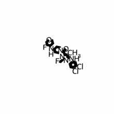 Cc1c(Nc2ccc(Cl)c(Cl)c2)nc(CF)nc1C(=O)N1CCC(N[C@@H]2CCOC[C@@H]2F)CC1